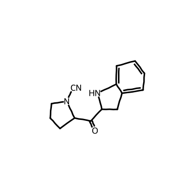 N#CN1CCCC1C(=O)C1Cc2ccccc2N1